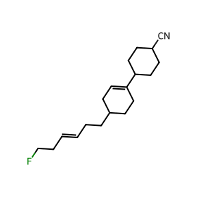 N#CC1CCC(C2=CCC(CCC=CCCF)CC2)CC1